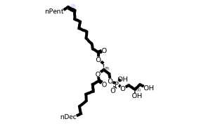 CCCCC/C=C\CCCCCCCC(=O)OC[C@H](COP(=O)(O)OC[C@@H](O)CO)OC(=O)CCCCCCCCCCCCCCCC